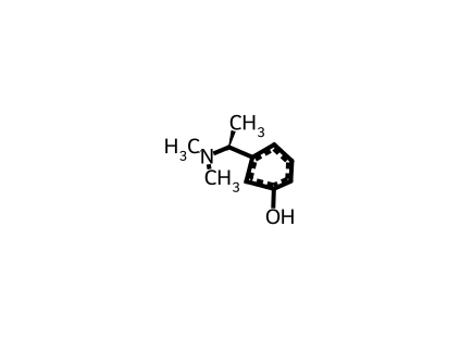 C[C@@H](c1cccc(O)c1)N(C)C